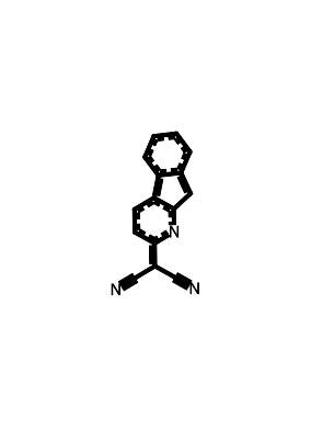 N#CC(C#N)=c1ccc2c(n1)C=c1ccccc1=2